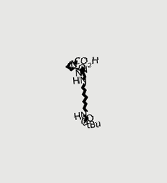 CC(C)(C)OC(=O)NCCCCCCCCCNCc1noc([C@H]2CCCN2C(=O)O)n1